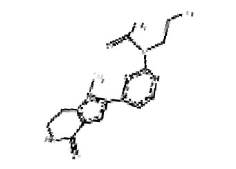 CC(=O)N(CCO)c1nccc(-c2cc3c(n2C)CCNC3=O)n1